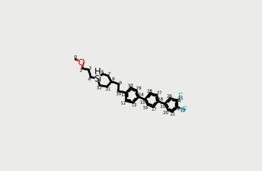 COCCC[SiH]1CCC(CCc2ccc(-c3ccc(-c4ccc(F)c(F)c4)cc3)cc2)CC1